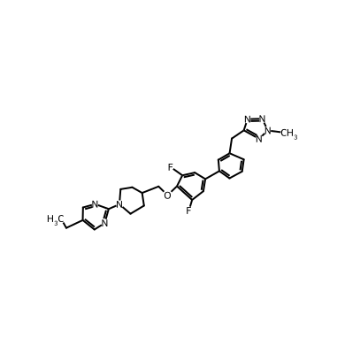 CCc1cnc(N2CCC(COc3c(F)cc(-c4cccc(Cc5nnn(C)n5)c4)cc3F)CC2)nc1